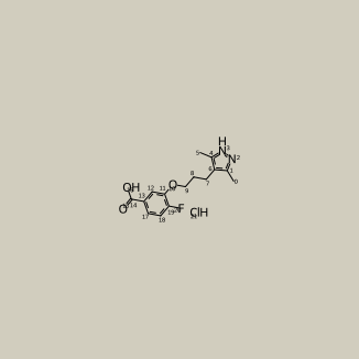 Cc1n[nH]c(C)c1CCCOc1cc(C(=O)O)ccc1F.Cl